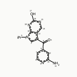 CC(C)n1cc(C(=O)c2ccnc(N)c2)c2cnc(O)nc21